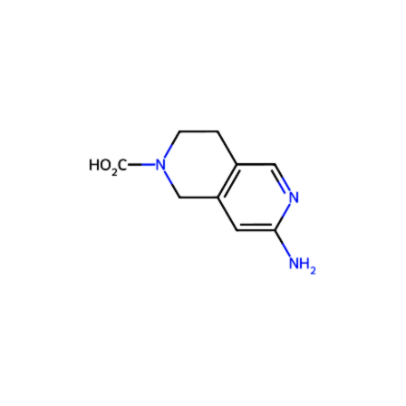 Nc1cc2c(cn1)CCN(C(=O)O)C2